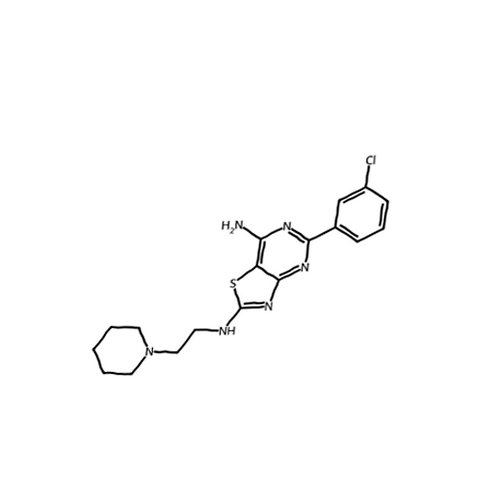 Nc1nc(-c2cccc(Cl)c2)nc2nc(NCCN3CCCCC3)sc12